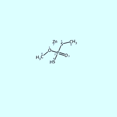 COP(=O)(S)SC.[Zn]